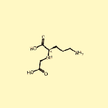 NCCC[C@@H](NCC(=O)O)C(=O)O